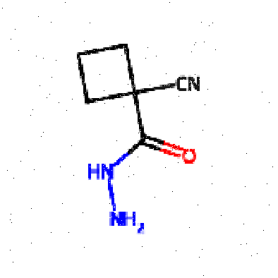 N#CC1(C(=O)NN)CCC1